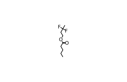 CCCCC(=O)OCCC(C)(F)F